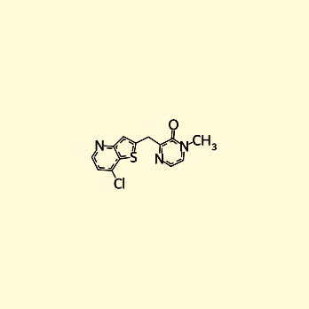 Cn1ccnc(Cc2cc3nccc(Cl)c3s2)c1=O